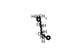 Cc1cc(CC(=O)NCCCNC(=O)c2cc(-c3ccccc3)[nH]n2)ccc1O